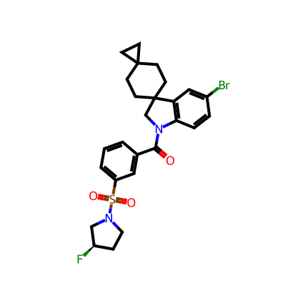 O=C(c1cccc(S(=O)(=O)N2CC[C@@H](F)C2)c1)N1CC2(CCC3(CC3)CC2)c2cc(Br)ccc21